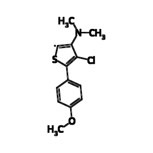 COc1ccc(-c2s[c]c(N(C)C)c2Cl)cc1